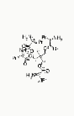 CC(C)C(N)C(=O)OCC(COC(=O)C(N)C(C)C)(COC(=O)C(N)C(C)C)COC(=O)C(N)C(C)C